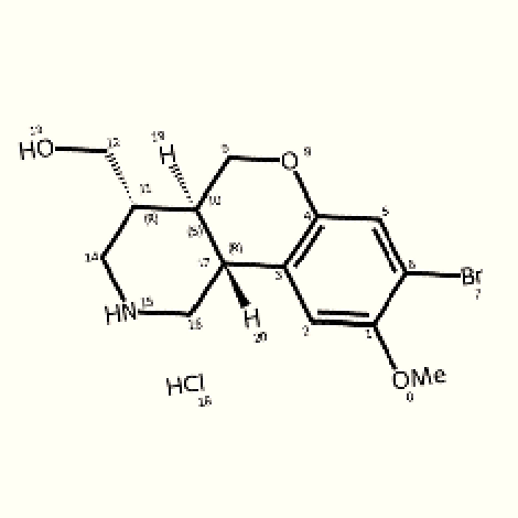 COc1cc2c(cc1Br)OC[C@@H]1[C@@H](CO)CNC[C@@H]21.Cl